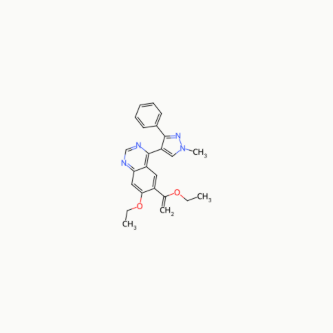 C=C(OCC)c1cc2c(-c3cn(C)nc3-c3ccccc3)ncnc2cc1OCC